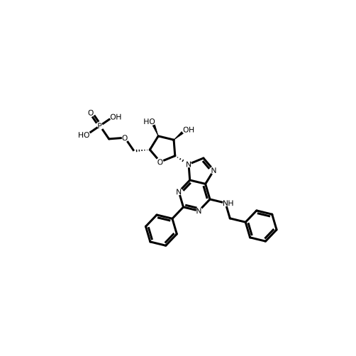 O=P(O)(O)COC[C@H]1O[C@@H](n2cnc3c(NCc4ccccc4)nc(-c4ccccc4)nc32)[C@H](O)[C@@H]1O